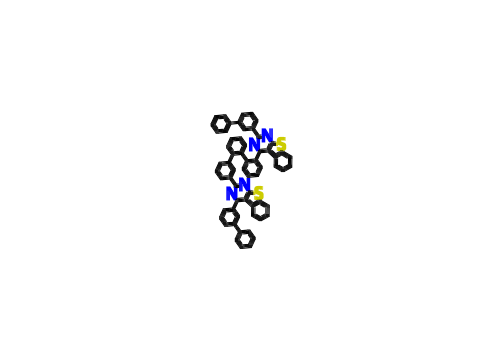 c1ccc(-c2cccc(-c3nc(-c4ccccc4-c4ccccc4-c4cccc(-c5nc(-c6cccc(-c7ccccc7)c6)c6c(n5)sc5ccccc56)c4)c4c(n3)sc3ccccc34)c2)cc1